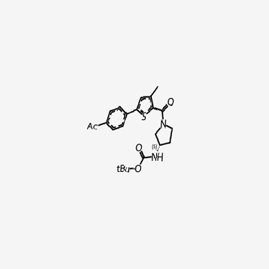 CC(=O)c1ccc(-c2cc(C)c(C(=O)N3CC[C@H](NC(=O)OC(C)(C)C)C3)s2)cc1